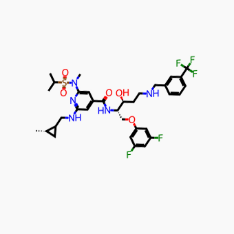 CC(C)S(=O)(=O)N(C)c1cc(C(=O)N[C@@H](COc2cc(F)cc(F)c2)[C@@H](O)CCNCc2cccc(C(F)(F)F)c2)cc(NCC2C[C@@H]2C)n1